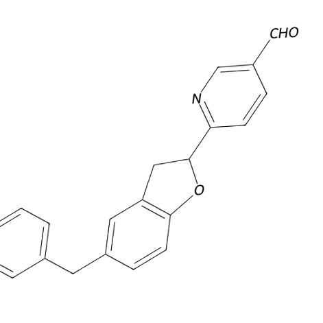 O=Cc1ccc(C2Cc3cc(Cc4ccccc4)ccc3O2)nc1